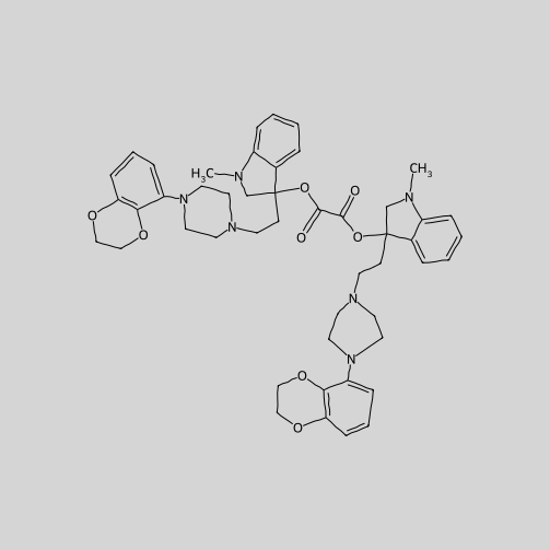 CN1CC(CCN2CCN(c3cccc4c3OCCO4)CC2)(OC(=O)C(=O)OC2(CCN3CCN(c4cccc5c4OCCO5)CC3)CN(C)c3ccccc32)c2ccccc21